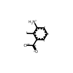 Cc1c(N)cccc1C(=O)Cl